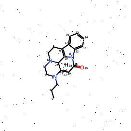 CCCN1CCN2CCc3c4n(c5ccccc35)C(=O)C[C@@H]1[C@H]42